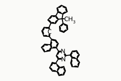 CC1(c2ccccc2)c2ccccc2-c2ccc(-c3cccc(-c4ccc(-c5cc(-c6cccc7ccccc67)nc(-c6cccc7ccccc67)n5)c5ccccc45)c3)cc21